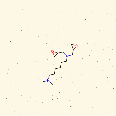 CN(C)CCCCCCN(CC1CO1)CC1CO1